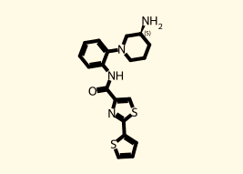 N[C@H]1CCCN(c2ccccc2NC(=O)c2csc(-c3cccs3)n2)C1